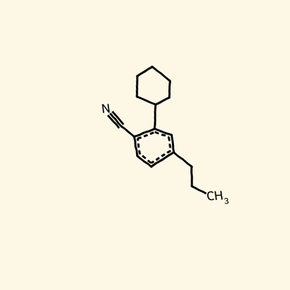 CCCc1ccc(C#N)c(C2CCCCC2)c1